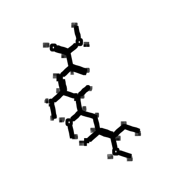 C=C(/N=C(/SC)N(C)C(C/C(F)=C(\CC)OC)OC)C(=O)OC